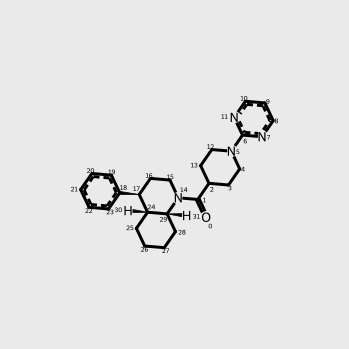 O=C(C1CCN(c2ncccn2)CC1)N1CC[C@H](c2ccccc2)[C@H]2CCCC[C@H]21